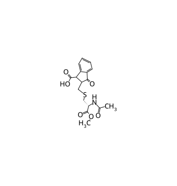 COC(=O)[C@H](CSCC1C(=O)c2ccccc2C1C(=O)O)NC(C)=O